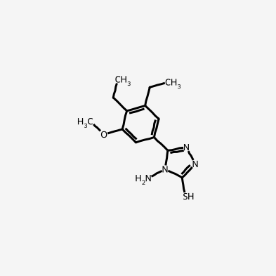 CCc1cc(-c2nnc(S)n2N)cc(OC)c1CC